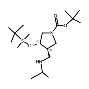 CC(C)NC[C@@H]1CN(C(=O)OC(C)(C)C)C[C@H]1O[Si](C)(C)C(C)(C)C